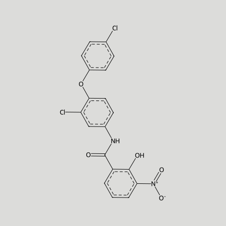 O=C(Nc1ccc(Oc2ccc(Cl)cc2)c(Cl)c1)c1cccc([N+](=O)[O-])c1O